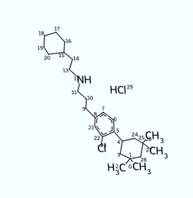 CC1(C)CC(c2ccc(CCCNCCC3CCCCC3)cc2Cl)CC(C)(C)C1.Cl